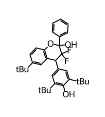 CC(C)(C)c1ccc2c(c1)C(c1cc(C(C)(C)C)c(O)c(C(C)(C)C)c1)C(F)(F)C(O)(c1ccccc1)O2